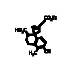 CCOC(=O)CCCC1(C(C)(C)C)c2ccc(C#N)c(C)c2CCN1C(=O)O